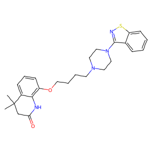 CC1(C)CC(=O)Nc2c(OCCCCN3CCN(c4nsc5ccccc45)CC3)cccc21